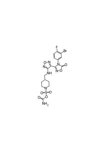 NC(=O)OS(=O)(=O)N1CCC(CNc2nonc2-c2noc(=O)n2-c2ccc(F)c(Br)c2)CC1